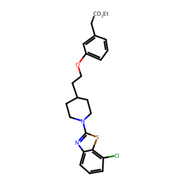 CCOC(=O)Cc1cccc(OCCC2CCN(c3nc4cccc(Cl)c4s3)CC2)c1